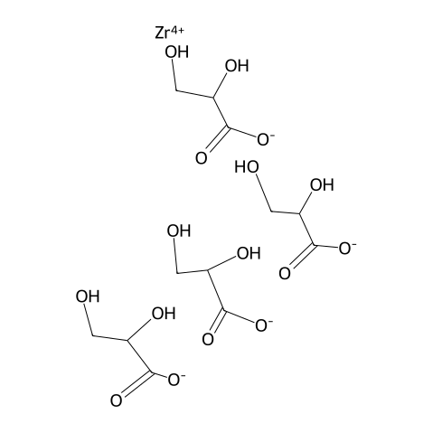 O=C([O-])C(O)CO.O=C([O-])C(O)CO.O=C([O-])C(O)CO.O=C([O-])C(O)CO.[Zr+4]